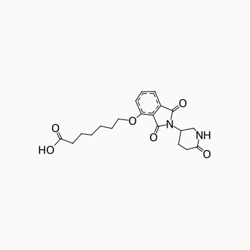 O=C(O)CCCCCCOc1cccc2c1C(=O)N(C1CCC(=O)NC1)C2=O